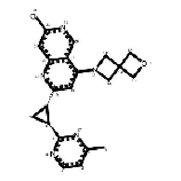 Cc1ccnc([C@H]2C[C@@H]2c2cc(N3CC4(COC4)C3)c3cnc(Cl)cc3n2)n1